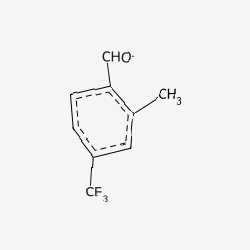 Cc1cc(C(F)(F)F)ccc1[C]=O